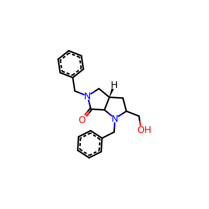 O=C1C2[C@@H](CC(CO)N2Cc2ccccc2)CN1Cc1ccccc1